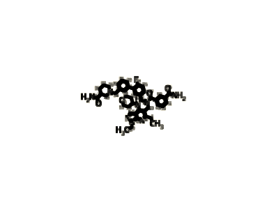 CCc1nc2c(cnn2CC)c(NC2CCOCC2)c1CN(Cc1ccc(F)c(-c2cccc(CN3CCCC(C(N)=O)C3)c2)c1)C(=O)c1cccc(C(N)=O)c1